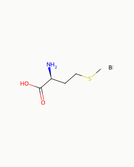 CSCC[C@H](N)C(=O)O.[B]